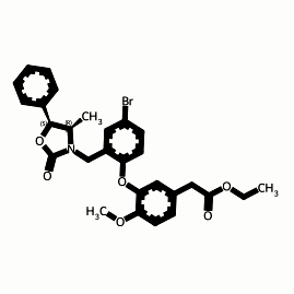 CCOC(=O)Cc1ccc(OC)c(Oc2ccc(Br)cc2CN2C(=O)O[C@@H](c3ccccc3)[C@H]2C)c1